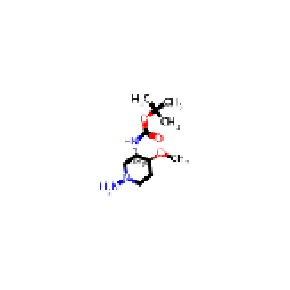 CO[C@H]1CCN(N)C[C@@H]1NC(=O)OC(C)(C)C